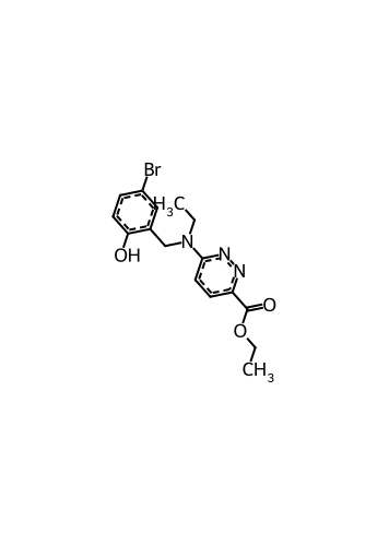 CCOC(=O)c1ccc(N(CC)Cc2cc(Br)ccc2O)nn1